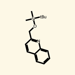 CC(C)(C)[Si](C)(C)OCc1ccc2ccccc2n1